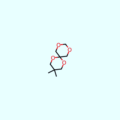 CC1(C)COC2(COCOC2)OC1